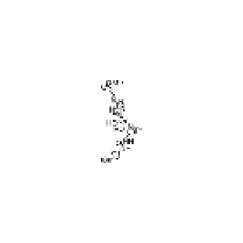 COC(=O)CCCNc1ncnc2c1ncn2[C@@H]1O[C@H](CN(CCCNC(=O)Nc2ccc(C(C)(C)C)cc2)C(C)C)[C@@H](O)[C@H]1O